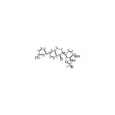 CS(=O)(=O)Nc1cc(N2CCc3cc(-c4cccc(Cl)c4)ccc3C2=O)ccc1O